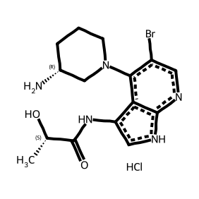 C[C@H](O)C(=O)Nc1c[nH]c2ncc(Br)c(N3CCC[C@@H](N)C3)c12.Cl